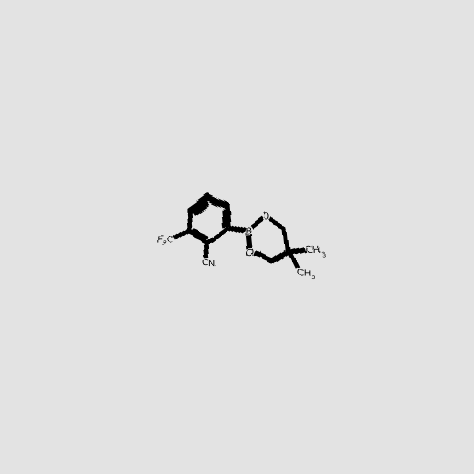 CC1(C)COB(c2cccc(C(F)(F)F)c2C#N)OC1